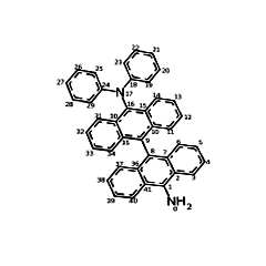 Nc1c2ccccc2c(-c2c3ccccc3c(N(c3ccccc3)c3ccccc3)c3ccccc23)c2ccccc12